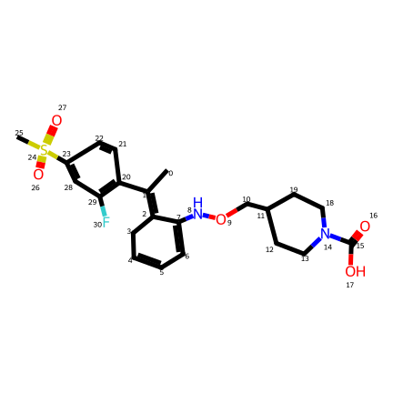 CC(=C1CC=CC=C1NOCC1CCN(C(=O)O)CC1)c1ccc(S(C)(=O)=O)cc1F